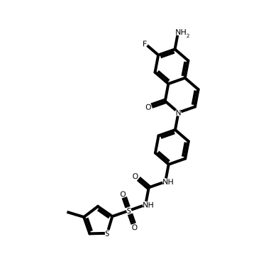 Cc1csc(S(=O)(=O)NC(=O)Nc2ccc(-n3ccc4cc(N)c(F)cc4c3=O)cc2)c1